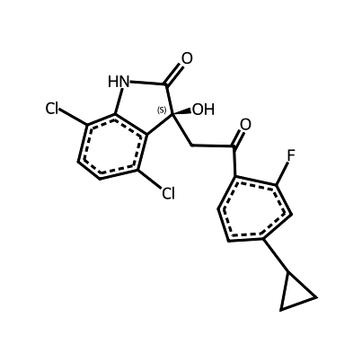 O=C(C[C@@]1(O)C(=O)Nc2c(Cl)ccc(Cl)c21)c1ccc(C2CC2)cc1F